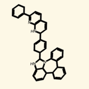 C1=CCCC(c2ccc3c(n2)NC(C2=CCC(C4NC5=CC=CC6C7C=CC=CC7c7ccccc7N4C56)C=C2)C=C3)=C1